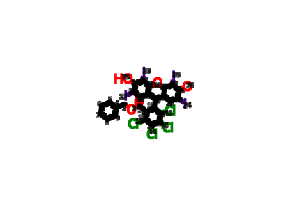 O=C(OCc1ccccc1)c1c(Cl)c(Cl)c(Cl)c(Cl)c1-c1c2cc(I)c(=O)c(I)c-2oc2c(I)c(O)c(I)cc12